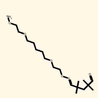 CC(C)(C=O)CC(C)(C)/C=N/OCCOCCCCCOCCON